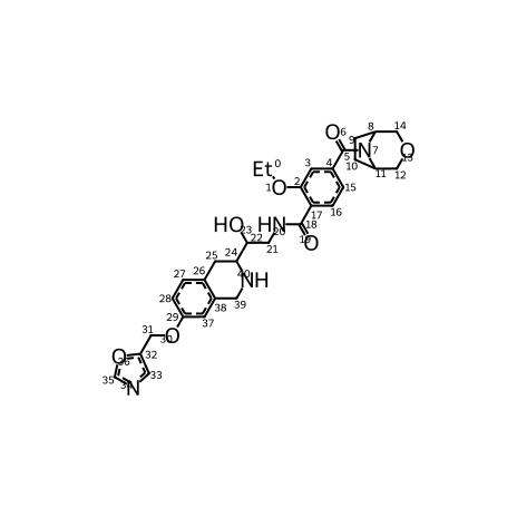 CCOc1cc(C(=O)N2C3CCC2COC3)ccc1C(=O)NCC(O)C1Cc2ccc(OCc3cnco3)cc2CN1